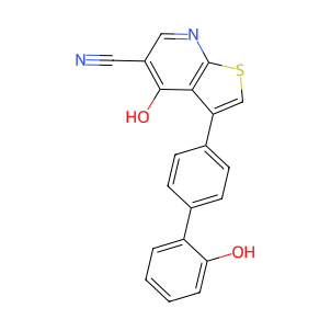 N#Cc1cnc2scc(-c3ccc(-c4ccccc4O)cc3)c2c1O